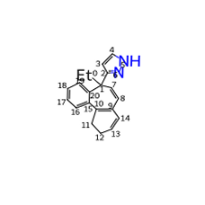 CCC1(c2cc[nH]n2)C=CC2=C(CCC=C2)c2ccccc21